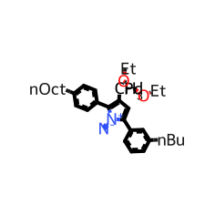 CCCCCCCCc1ccc(C2=C(C)C=C(c3cccc(CCCC)c3)[N+]2=[N-])cc1.CC[O][Pd][O]CC